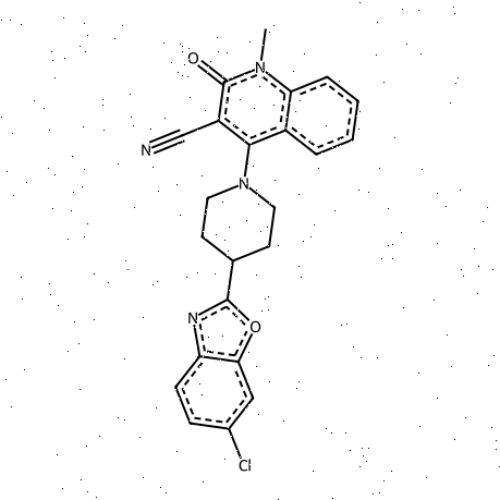 Cn1c(=O)c(C#N)c(N2CCC(c3nc4ccc(Cl)cc4o3)CC2)c2ccccc21